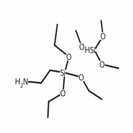 CCO[Si](CCN)(OCC)OCC.CO[SiH](OC)OC